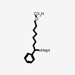 CCCCCCCC(CCCCCCCOC(=O)O)c1ccccc1